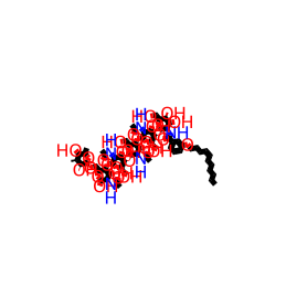 CCCCCC/C=C\CCCOc1cccc(C(=O)N[C@H]2C(O)[C@H](O)C(CO)O[C@H]2O[C@H]2C(O)C(NC(C)=O)C(OC3C(CO)O[C@@H](O[C@H]4C(O)C(NC(C)=O)C(OC5C(CO[C@@H]6OC(C)C(O)[C@H](C)[C@H]6O)OC(O)[C@@H](NC(C)=O)C5O)O[C@H]4CO)[C@@H](NC(C)=O)C3O)O[C@H]2CO)c1